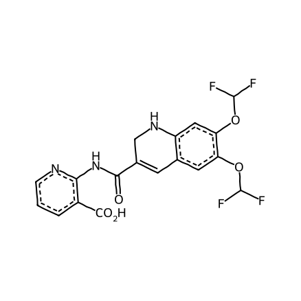 O=C(Nc1ncccc1C(=O)O)C1=Cc2cc(OC(F)F)c(OC(F)F)cc2NC1